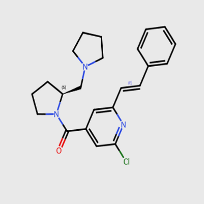 O=C(c1cc(Cl)nc(/C=C/c2ccccc2)c1)N1CCC[C@H]1CN1CCCC1